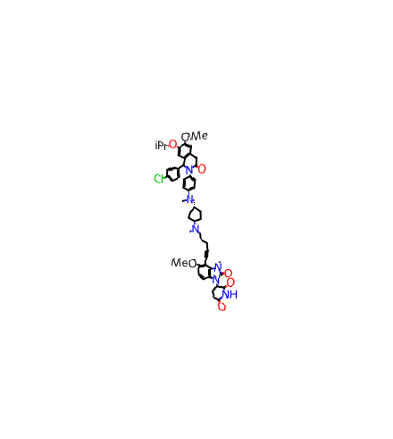 COc1cc2c(cc1OC(C)C)C(c1ccc(Cl)cc1)N(c1ccc(N(C)C[C@H]3CC[C@H](N(C)CCCC#Cc4c(OC)ccc5c4n(C)c(=O)n5C4CCC(=O)NC4=O)CC3)cc1)C(=O)C2